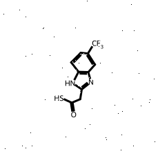 O=C(S)Cc1nc2cc(C(F)(F)F)ccc2[nH]1